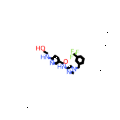 O=C(Nc1cn(Cc2cccc(C(F)(F)F)c2)cn1)c1ccc(NCCO)nc1